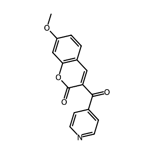 COc1ccc2cc(C(=O)c3ccncc3)c(=O)oc2c1